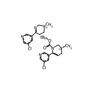 C[C@H]1CC=C(c2cncc(Cl)c2)N(C(=O)OC(C)(C)C)C1.C[C@H]1CCC(c2cncc(Cl)c2)=NC1